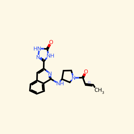 C/C=C/C(=O)N1CCC(Nc2nc(-c3n[nH]c(=O)[nH]3)cc3ccccc23)C1